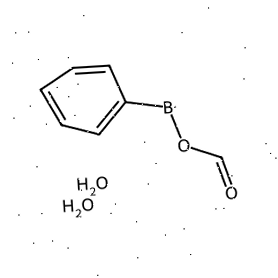 O.O.O=CO[B]c1ccccc1